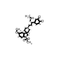 CNC[C@@H](CCN1CCC2(CC1)CN(S(C)(=O)=O)c1ccc(OC)cc12)c1ccc(Cl)c(Cl)c1